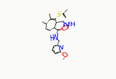 C=C(C)SC1=C(C)C(C)CCC(C(=O)NCc2cccc(OC)n2)=C1C=N